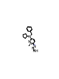 Cn1nc(N(Cc2ccccc2)C2CCCC2)cc/c1=N/N=N